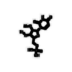 CCOC1C(COP(=O)(O)O)OC(n2ccc(=O)[nH]c2=O)C1OC